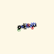 O=c1c2cccnc2ncn1Cc1nc([C@H]2[C@@H]3CN(c4cccc(Cl)c4)C[C@@H]32)no1